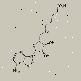 Nc1ncnc2c1ncn2[C@@H]1O[C@H](C[Se]CCCCC(=O)O)[C@@H](O)[C@H]1O